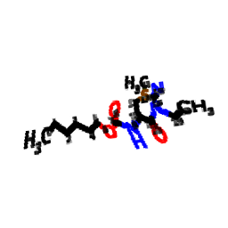 CCCCCCOC(=O)NC(CSC)C(=O)N(C#N)CC